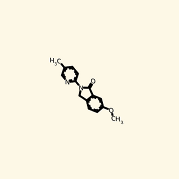 COc1ccc2c(c1)C(=O)N(c1ccc(C)cn1)C2